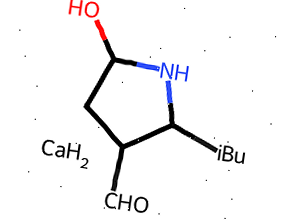 CCC(C)C1NC(O)CC1C=O.[CaH2]